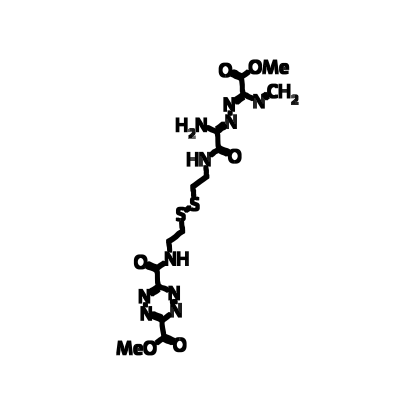 C=N/C(=N\N=C(/N)C(=O)NCCSSCCNC(=O)c1nnc(C(=O)OC)nn1)C(=O)OC